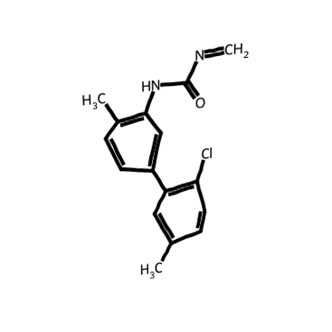 C=NC(=O)Nc1cc(-c2cc(C)ccc2Cl)ccc1C